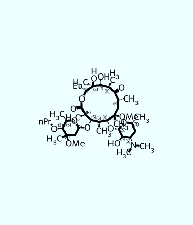 CCCO[C@H]1[C@H](C)O[C@@H](O[C@H]2[C@H](C)[C@@H](O[C@@H]3O[C@H](C)C[C@H](N(C)C)[C@H]3O)[C@](C)(OC)C[C@@H](C)C(=O)[C@H](C)[C@@H](O)[C@](C)(O)[C@@H](CC)OC(=O)[C@@H]2C)C[C@@]1(C)OC